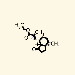 CCOC(=O)/C(C)=C/[C@@H]1CC[C@@H](C)C2CCC(=O)[C@@H]21